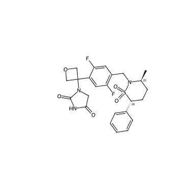 C[C@H]1CC[C@H](c2ccccc2)S(=O)(=O)N1Cc1cc(F)c(C2(N3CC(=O)NC3=O)COC2)cc1F